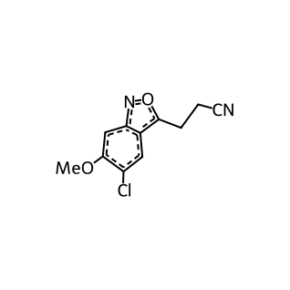 COc1cc2noc(CCC#N)c2cc1Cl